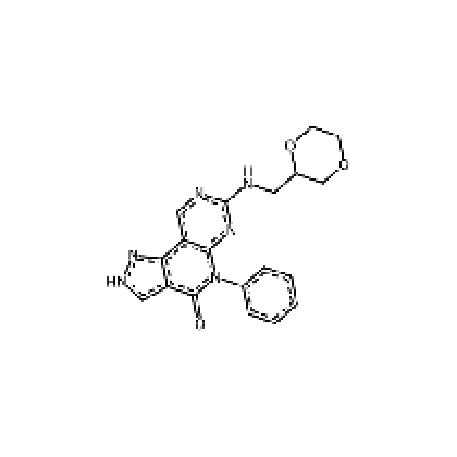 O=c1c2c[nH]nc2c2cnc(NCC3COCCO3)nc2n1-c1ccccc1